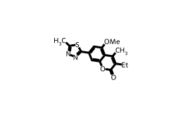 CCc1c(C)c2c(OC)cc(-c3nnc(C)s3)cc2oc1=O